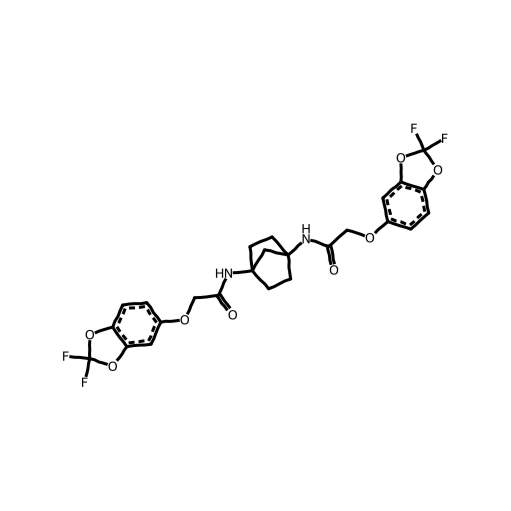 O=C(COc1ccc2c(c1)OC(F)(F)O2)NC12CCC(NC(=O)COc3ccc4c(c3)OC(F)(F)O4)(CC1)C2